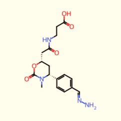 CN1C(=O)O[C@H](CC(=O)NCCC(=O)O)C[C@@H]1c1ccc(C=NN)cc1